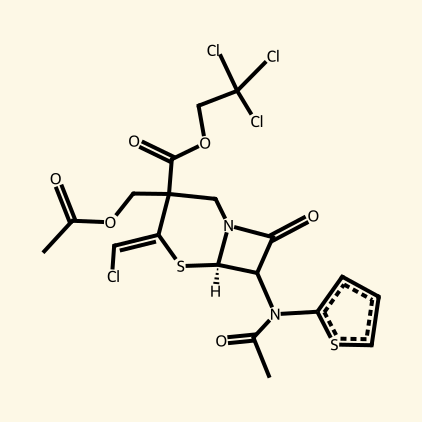 CC(=O)OCC1(C(=O)OCC(Cl)(Cl)Cl)CN2C(=O)C(N(C(C)=O)c3cccs3)[C@H]2SC1=CCl